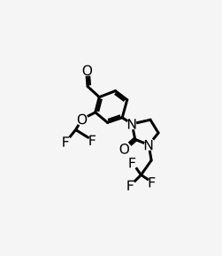 O=Cc1ccc(N2CCN(CC(F)(F)F)C2=O)cc1OC(F)F